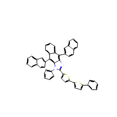 c1ccc(-c2ccc(-c3ccc(-c4nc5c(-c6ccc7ccccc7c6)c6ccccc6c(-c6ccc7ccccc7c6)c5n4-c4ccccc4)s3)s2)cc1